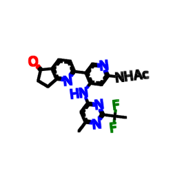 CC(=O)Nc1cc(Nc2cc(C)nc(C(C)(F)F)n2)c(-c2ccc3c(n2)CCC3=O)cn1